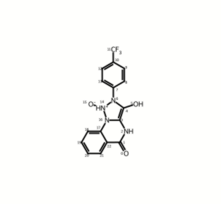 O=C1NC2=C(O)N(c3ccc(C(F)(F)F)cc3)[NH+]([O-])N2c2ccccc21